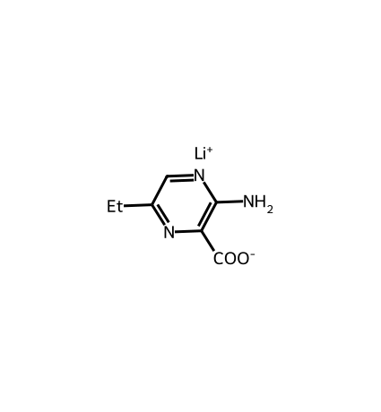 CCc1cnc(N)c(C(=O)[O-])n1.[Li+]